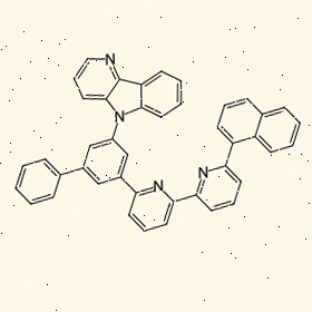 c1ccc(-c2cc(-c3cccc(-c4cccc(-c5cccc6ccccc56)n4)n3)cc(-n3c4ccccc4c4ncccc43)c2)cc1